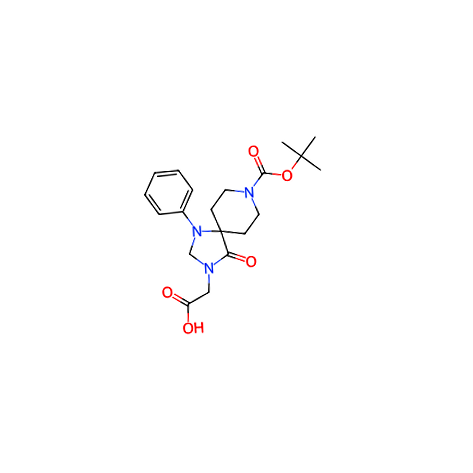 CC(C)(C)OC(=O)N1CCC2(CC1)C(=O)N(CC(=O)O)CN2c1ccccc1